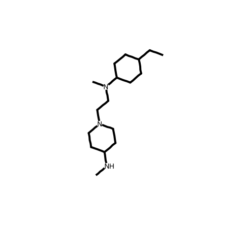 CCC1CCC(N(C)CCN2CCC(NC)CC2)CC1